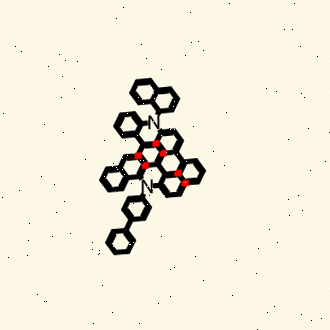 C1=CC2=CC=CC(N(c3ccc(-c4ccccc4)cc3)c3ccccc3-c3ccc(-c4ccccc4N(c4ccc(C5=CCCC=C5)cc4)c4cccc5ccccc45)cc3)C2C=C1